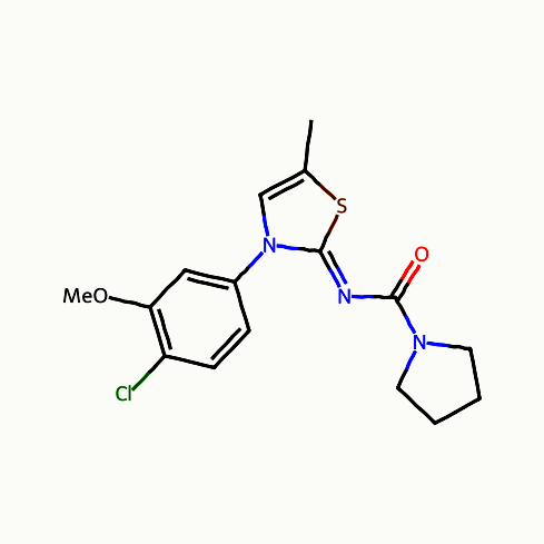 COc1cc(-n2cc(C)sc2=NC(=O)N2CCCC2)ccc1Cl